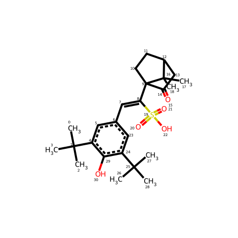 CC(C)(C)c1cc(C=C(C23CCC(CC2=O)C3(C)C)S(=O)(=O)O)cc(C(C)(C)C)c1O